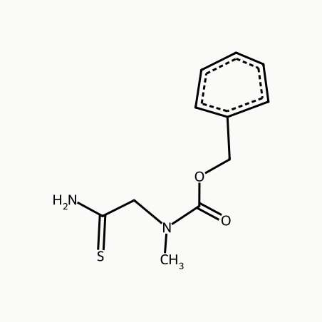 CN(CC(N)=S)C(=O)OCc1ccccc1